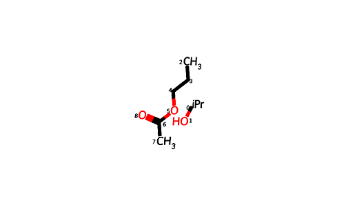 CC(C)O.CCCOC(C)=O